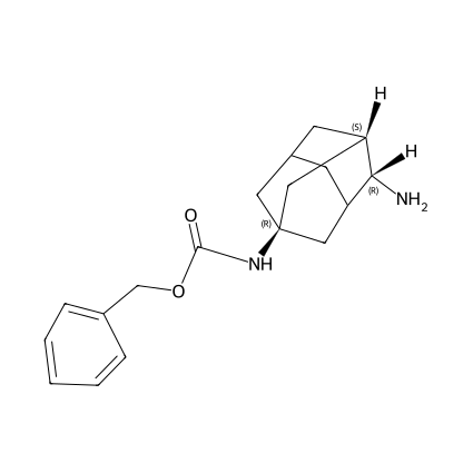 N[C@@H]1C2CC3C[C@H]1C[C@@](NC(=O)OCc1ccccc1)(C3)C2